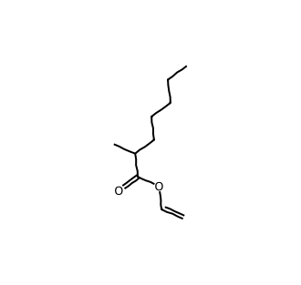 C=COC(=O)C(C)CCCCC